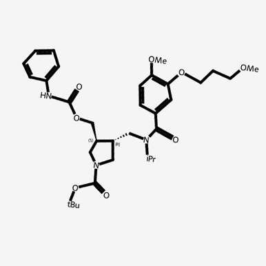 COCCCOc1cc(C(=O)N(C[C@@H]2CN(C(=O)OC(C)(C)C)C[C@H]2COC(=O)Nc2ccccc2)C(C)C)ccc1OC